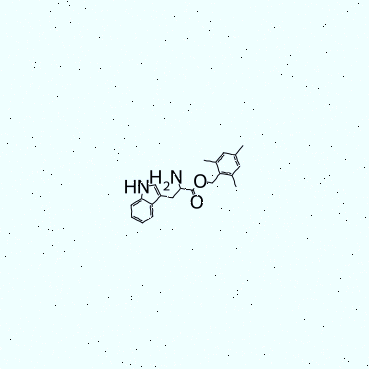 Cc1cc(C)c(COC(=O)C(N)Cc2c[nH]c3ccccc23)c(C)c1